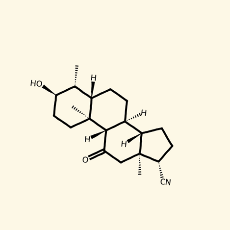 C[C@H]1[C@H](O)CC[C@@]2(C)[C@H]1CC[C@H]1[C@@H]3CC[C@H](C#N)[C@@]3(C)CC(=O)[C@@H]12